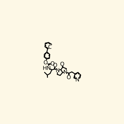 CC(C)CC(NC(=O)Oc1ccc(-c2ccccc2)cc1)C(=O)N1CCC2C1C(=O)CN2C(=O)Cc1cccnc1